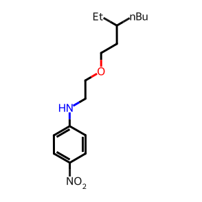 CCCCC(CC)CCOCCNc1ccc([N+](=O)[O-])cc1